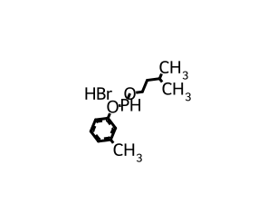 Br.Cc1cccc(OPOCCC(C)C)c1